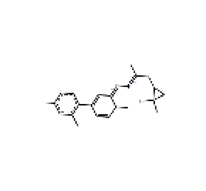 C/C(CC1CC1(F)F)=N\N=C1\C=C(c2ccc(F)cc2C)C=CC1C